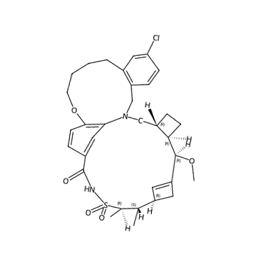 CO[C@H]1C2=C[C@@H](C2)[C@H](C)[C@@H](C)S(=O)(=O)NC(=O)c2ccc3c(c2)N(Cc2ccc(Cl)cc2CCCCO3)C[C@@H]2CC[C@H]21